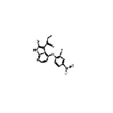 CCC(=O)c1c(Br)[nH]c2nccc(Oc3ccc([N+](=O)[O-])cc3F)c12